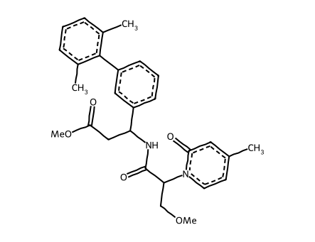 COCC(C(=O)NC(CC(=O)OC)c1cccc(-c2c(C)cccc2C)c1)n1ccc(C)cc1=O